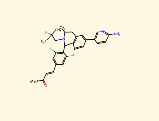 COC(=O)/C=C/c1cc(F)c(C2c3ccc(-c4ccc(N)nc4)cc3CC(C)N2CC(C)(C)F)c(F)c1